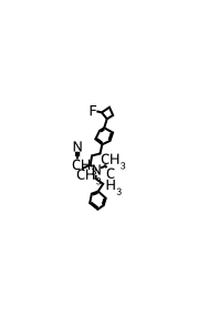 CC#N.CCC(CCc1ccc(C2CCC2F)cc1)N(CCc1ccccc1)C(C)C